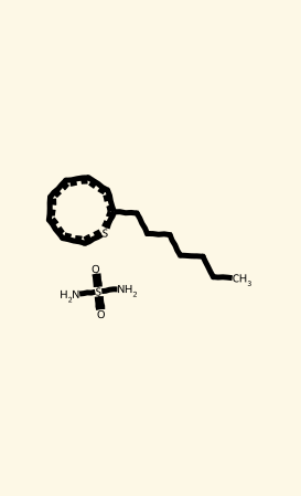 CCCCCCCc1cccccccs1.NS(N)(=O)=O